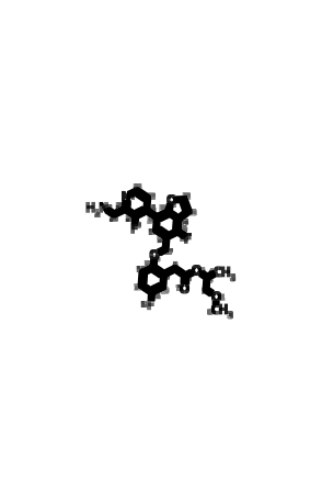 COCC(C)OC(=O)Cc1cc(F)ccc1OCc1cc(-c2ccnc(CN)c2F)c2occc2c1F